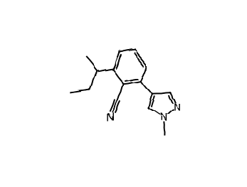 CCC(C)c1cccc(-c2cnn(C)c2)c1C#N